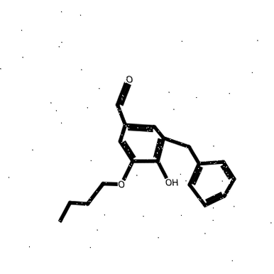 CCCCOc1cc(C=O)cc(Cc2ccccc2)c1O